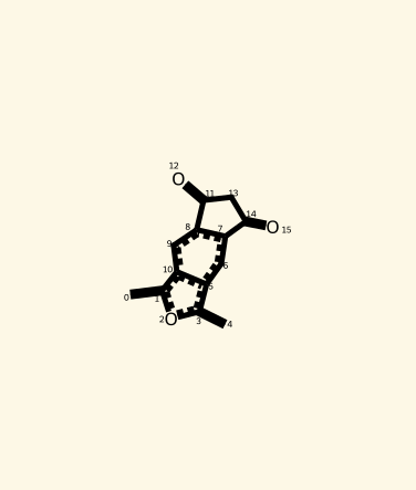 C=c1oc(=C)c2cc3c(cc12)C(=O)CC3=O